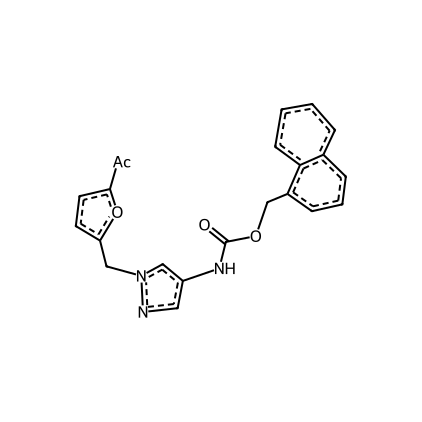 CC(=O)c1ccc(Cn2cc(NC(=O)OCc3cccc4ccccc34)cn2)o1